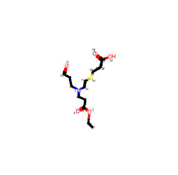 CCOC(=O)CCN(CCC=O)CCSCCC(=O)O